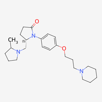 CC1CCCN1C[C@@H]1CCC(=O)N1c1ccc(OCCCN2CCCCC2)cc1